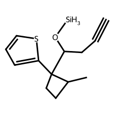 C#CCC(O[SiH3])C1(c2cccs2)CCC1C